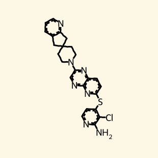 Nc1nccc(Sc2ccc3nc(N4CCC5(CC4)Cc4cccnc4C5)cnc3n2)c1Cl